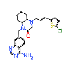 Nc1ncnc2cc(CN3C(=O)CN(CC=Cc4ccc(Cl)s4)C4CCCCC43)ccc12